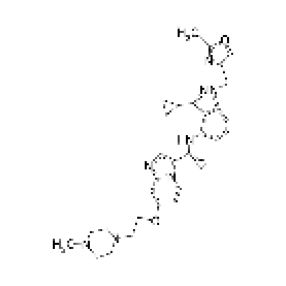 Cc1nc(Cn2nc(C3CC3)c3c(NC(=O)c4cnc5cc(OCCN6CCN(C)CC6)ccn45)cccc32)co1